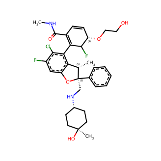 CNC(=O)C1=C(c2c(Cl)c(F)cc3c2[C@H](C)[C@@](CN[C@H]2CC[C@](C)(O)CC2)(c2ccccc2)O3)C(F)[C@@H](OCCO)C=C1